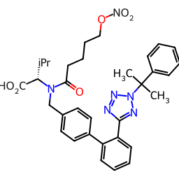 CC(C)[C@@H](C(=O)O)N(Cc1ccc(-c2ccccc2-c2nnn(C(C)(C)c3ccccc3)n2)cc1)C(=O)CCCCO[N+](=O)[O-]